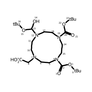 CC(C)(C)OC(=O)N1CCN(CC(=O)O)CCN(C(O)OC(C)(C)C)CCN(C(=O)OC(C)(C)C)CC1